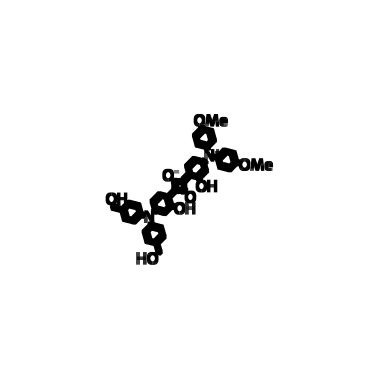 COc1ccc([N+](=C2C=C/C(=C3/C(=O)C(c4ccc(N(c5ccc(CO)cc5)c5ccc(CO)cc5)cc4O)=C3[O-])C(O)=C2)c2ccc(OC)cc2)cc1